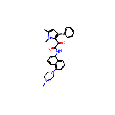 Cc1cc(-c2ccccc2)c(C(=O)C(=O)Nc2cccc3c(N4CCN(C)CC4)cccc23)n1C